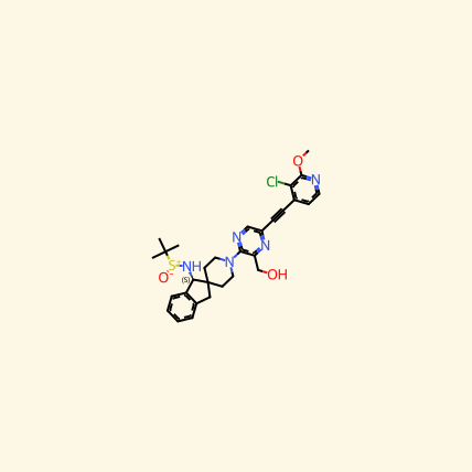 COc1nccc(C#Cc2cnc(N3CCC4(CC3)Cc3ccccc3[C@H]4N[S+]([O-])C(C)(C)C)c(CO)n2)c1Cl